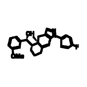 COc1cccc([C@H](O)[C@H]2CCCC3=Cc4c(cnn4-c4ccc(F)cc4)C[C@@]32C)c1